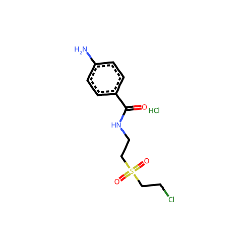 Cl.Nc1ccc(C(=O)NCCS(=O)(=O)CCCl)cc1